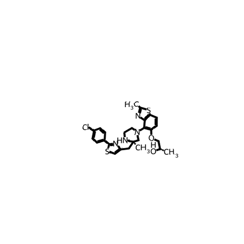 Cc1nc2c(N3CCN[C@@](C)(Cc4csc(-c5ccc(Cl)cc5)n4)C3)c(OC[C@@H](C)O)ccc2s1